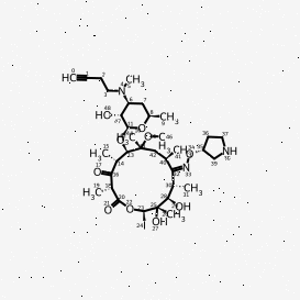 C#CCCN(C)[C@H]1C[C@@H](C)O[C@@H](O[C@@H]2[C@@H](C)C(=O)[C@@H](C)C(=O)O[C@H](I)[C@@](C)(O)[C@H](O)[C@@H](C)/C(=N/O[C@@H]3CCNC3)[C@H](C)C[C@@]2(C)OC)[C@@H]1O